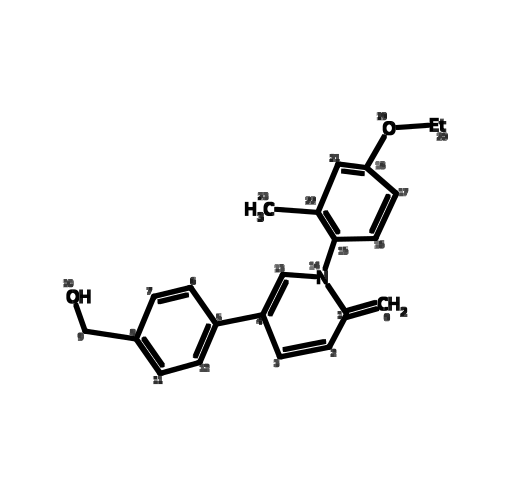 C=C1C=CC(c2ccc(CO)cc2)=CN1c1ccc(OCC)cc1C